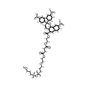 COCCC[Si](C)(C)O[Si](C)(C)CCCOCCOC(=O)CCC(=O)OCCOC(=O)c1cc2ccc(N(C)C)cc2c2c1C=CC(c1ccc(N(C)C)cc1)(c1ccc(N(C)C)cc1)O2